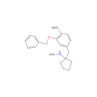 COc1ccc(CC2(NC=O)CCCC2)cc1OCc1ccccc1